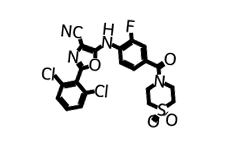 N#Cc1nc(-c2c(Cl)cccc2Cl)oc1Nc1ccc(C(=O)N2CCS(=O)(=O)CC2)cc1F